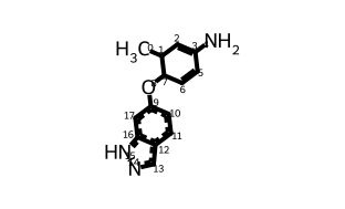 CC1C=C(N)C=CC1Oc1ccc2cn[nH]c2c1